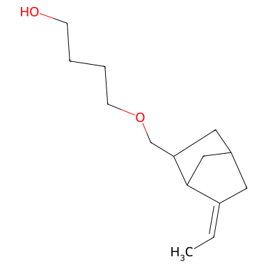 CC=C1CC2CC(COCCCCO)C1C2